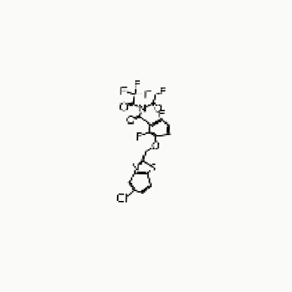 O=C(CF)N(C(=O)c1c(F)ccc(OCc2nc3cc(Cl)ccc3s2)c1F)C(=O)C(F)(F)F